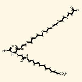 CCCC(=O)N[C@H](CCC(=O)NCCCCCCCCCCCC(=O)O)C(=O)NCCOCCOCCOCCOCCOCCOCCC(=O)CC